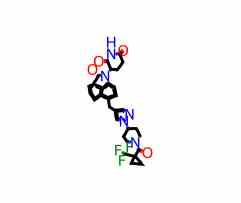 O=C1CCC(N2C(=O)c3cccc4c(Cc5cnn(C6CCN(C(=O)C7(C(F)(F)F)CC7)CC6)c5)ccc2c34)C(=O)N1